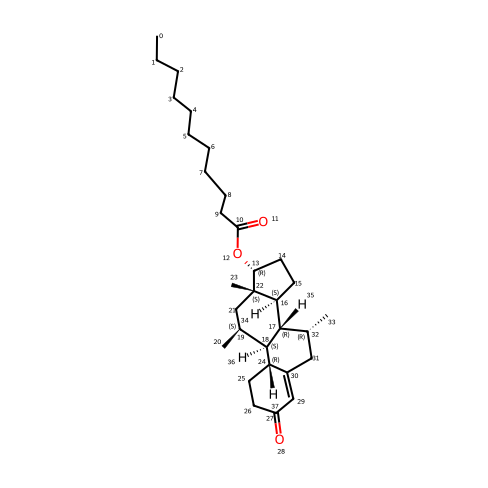 CCCCCCCCCCC(=O)O[C@@H]1CC[C@H]2[C@H]3[C@H]([C@@H](C)C[C@]12C)[C@H]1CCC(=O)C=C1C[C@H]3C